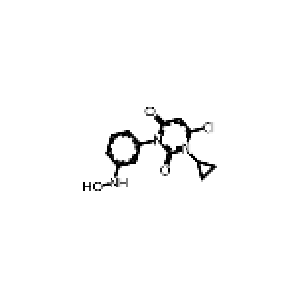 O=c1cc(Cl)n(C2CC2)c(=O)n1-c1cccc(NO)c1